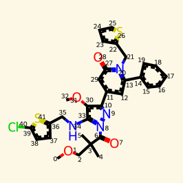 COCC(C)(C)C(=O)n1nc(-c2cc(-c3ccccc3)n(Cc3cccs3)c(=O)c2)c(OC)c1NCc1ccc(Cl)s1